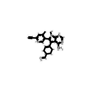 C#Cc1cc(C)c(-c2c(C3=CCC(C=O)CC3)c3c(N)ncnc3n2C)cn1